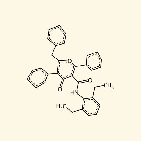 CCc1cccc(CC)c1NC(=O)c1c(-c2ccccc2)oc(Cc2ccccc2)c(-c2ccccc2)c1=O